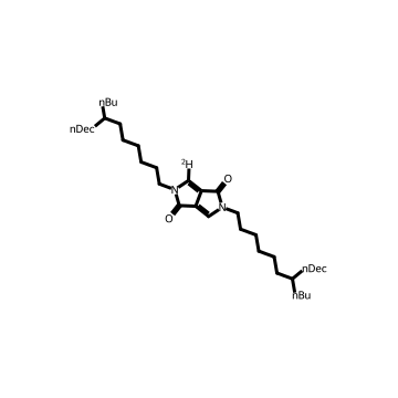 [2H]C1=C2C(=O)N(CCCCCCC(CCCC)CCCCCCCCCC)C=C2C(=O)N1CCCCCCC(CCCC)CCCCCCCCCC